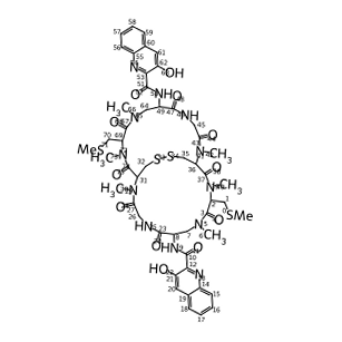 CSCC1C(=O)N(C)CC(NC(=O)c2nc3ccccc3cc2O)C(=O)NCC(=O)N(C)C2CSSCC(C(=O)N1C)N(C)C(=O)CNC(=O)C(NC(=O)c1nc3ccccc3cc1O)CN(C)C(=O)C(CSC)N(C)C2=O